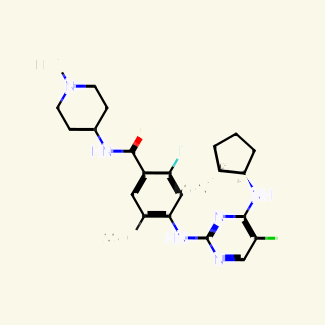 CN[C@@H]1CCC[C@H]1Nc1nc(Nc2cc(F)c(C(=O)NC3CCN(C)CC3)cc2OC)ncc1Cl